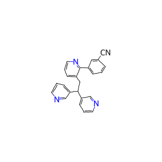 N#Cc1cccc(-c2ncccc2CC(c2cccnc2)c2cccnc2)c1